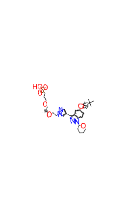 C[C@H](COCCCS(=O)(=O)O)OCCn1cc(-c2nn(C3CCCCO3)c3ccc(O[Si](C)(C)C(C)(C)C)cc23)cn1